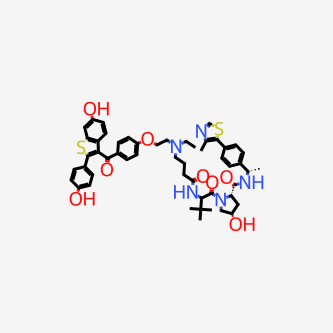 CCN(CCCC(=O)NC(C(=O)N1C[C@H](O)C[C@H]1C(=O)N[C@@H](C)c1ccc(-c2scnc2C)cc1)C(C)(C)C)CCOc1ccc(C(=O)c2c(-c3ccc(O)cc3)sc3cc(O)ccc23)cc1